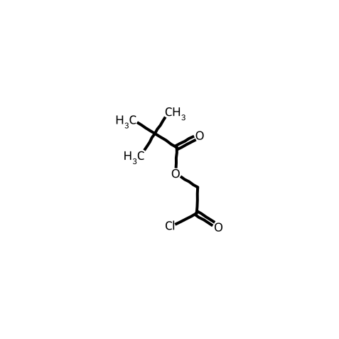 CC(C)(C)C(=O)OCC(=O)Cl